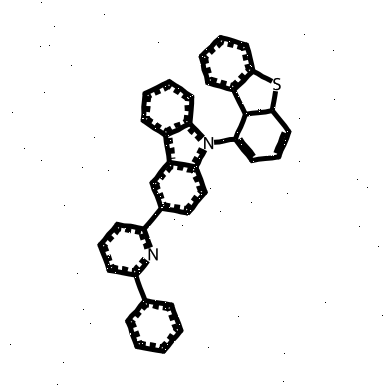 C1=CC2Sc3ccccc3C2C(n2c3ccccc3c3cc(-c4cccc(-c5ccccc5)n4)ccc32)=C1